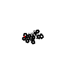 Cc1cc2c(cc1N1c3cc4c(oc5ccccc54)c(-c4cccc5c4Nc4ccccc4C5(c4ccccc4)c4ccccc4)c3Bc3sc4ccccc4c31)C(C)(C)CCC2(C)C